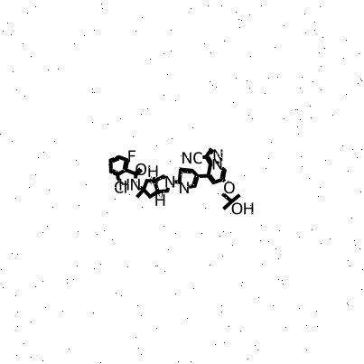 CC(C)(O)COc1cc(-c2ccc(N3C[C@@H]4CC(C)(NC(=O)c5c(F)cccc5Cl)C[C@@H]4C3)nc2)c2c(C#N)cnn2c1